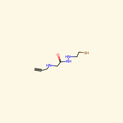 C#CCNCC(=O)NNCCS